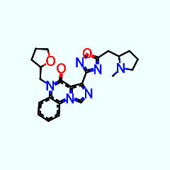 CN1CCCC1Cc1nc(-c2ncn3c2c(=O)n(CC2CCCO2)c2ccccc23)no1